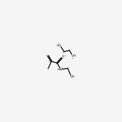 C=C(C)C(=O)NCO.OCCO